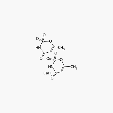 CC1=CC(=O)NS(=O)(=O)O1.CC1=CC(=O)NS(=O)(=O)O1.[CaH2]